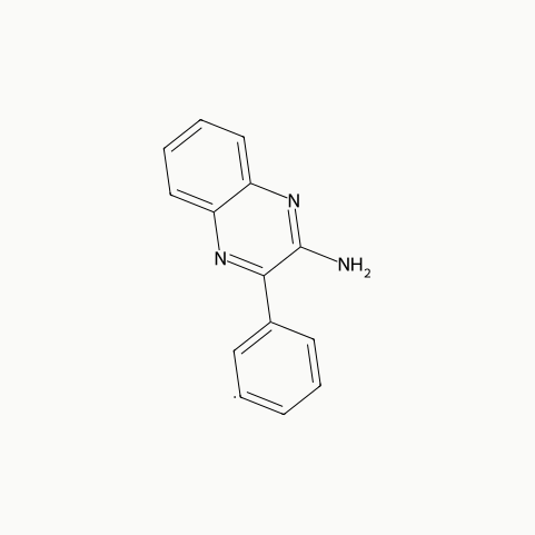 Nc1nc2ccccc2nc1-c1c[c]ccc1